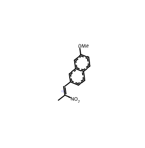 COc1ccc2ccc(/C=C(/C)[N+](=O)[O-])cc2c1